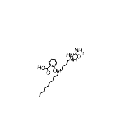 CCCCCCCCCCCCCCNNC(N)=O.O=C(O)c1ccccc1O